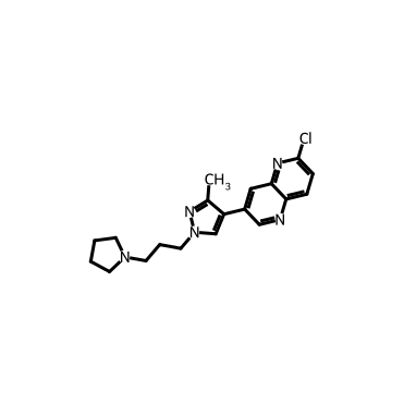 Cc1nn(CCCN2CCCC2)cc1-c1cnc2ccc(Cl)nc2c1